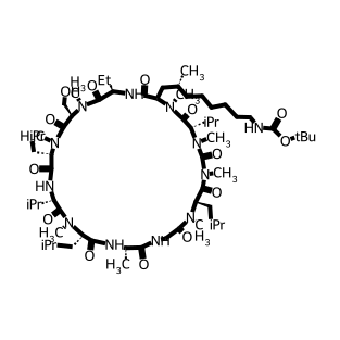 CC[C@@H]1NC(=O)C(C[C@H](C)CCCCCCNC(=O)OC(C)(C)C)N(C)C(=O)[C@H](C(C)C)N(C)C(=O)N(C)C(=O)[C@@H](CC(C)C)N(C)C(=O)CNC(=O)[C@H](C)NC(=O)[C@H](CC(C)C)N(C)C(=O)[C@H](C(C)C)NC(=O)[C@H](CC(C)C)N(C)C(=O)[C@@H](CO)N(C)C1=O